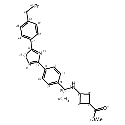 COC(=O)C1CC(N[C@H](C)c2ccc(-c3noc(-c4ccc(CC(C)C)cc4)n3)cc2)C1